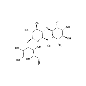 C[C@@H]1O[C@@H](O[C@H]2[C@H](O)[C@@H](O)[C@H](OC(C(O)CO)C(O)C(O)C=O)O[C@@H]2CO)[C@H](O)[C@H](O)[C@H]1O